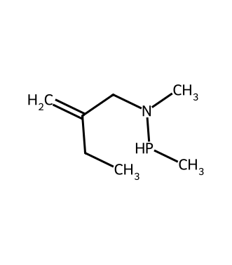 C=C(CC)CN(C)PC